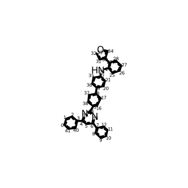 c1ccc(-c2cc(-c3ccccc3)nc(-c3ccc(-c4ccc(Nc5ccccc5-c5ccoc5)cc4)cc3)n2)cc1